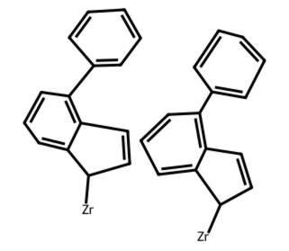 [Zr][CH]1C=Cc2c(-c3ccccc3)cccc21.[Zr][CH]1C=Cc2c(-c3ccccc3)cccc21